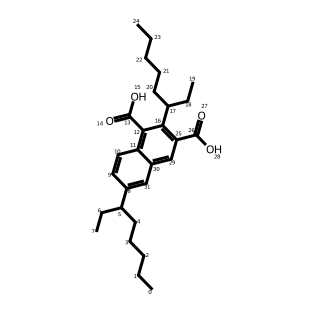 CCCCCC(CC)c1ccc2c(C(=O)O)c(C(CC)CCCCC)c(C(=O)O)cc2c1